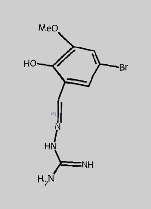 COc1cc(Br)cc(/C=N/NC(=N)N)c1O